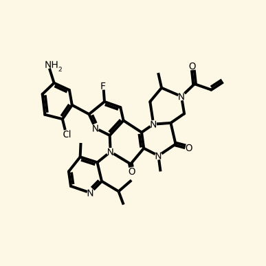 C=CC(=O)N1CC2C(=O)N(C)c3c(c4cc(F)c(-c5cc(N)ccc5Cl)nc4n(-c4c(C)ccnc4C(C)C)c3=O)N2CC1C